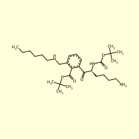 CCCCCCNCc1cccc(C(=O)[C@H](CCCCN)NC(=O)OC(C)(C)C)c1C(=O)OC(C)(C)C